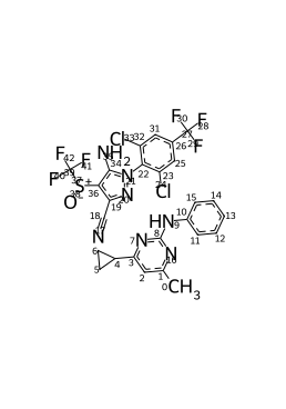 Cc1cc(C2CC2)nc(Nc2ccccc2)n1.N#Cc1nn(-c2c(Cl)cc(C(F)(F)F)cc2Cl)c(N)c1[S+]([O-])C(F)(F)F